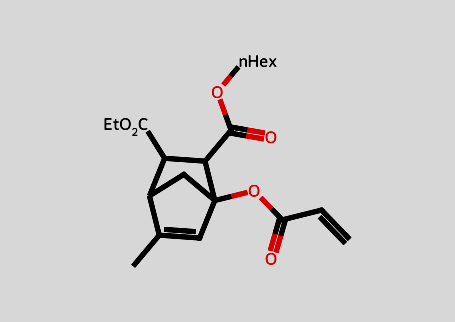 C=CC(=O)OC12C=C(C)C(C1)C(C(=O)OCC)C2C(=O)OCCCCCC